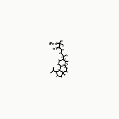 C=C(C)C1CCC2(C)CC[C@@]3(C)C(C)C(C(C)CCC(O)C(C)(C)C(C)CCC)CCC3C12